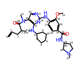 C=CCC1CN(C2CCCCC2)c2nc(Nc3ccc(C(=O)N[C@@H]4CCN(C)C4)cc3OC)ncc2N(C)C1=O